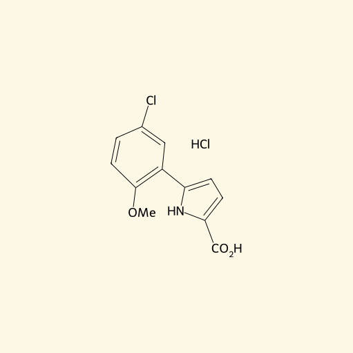 COc1ccc(Cl)cc1-c1ccc(C(=O)O)[nH]1.Cl